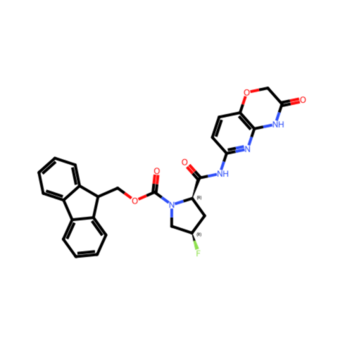 O=C1COc2ccc(NC(=O)[C@H]3C[C@@H](F)CN3C(=O)OCC3c4ccccc4-c4ccccc43)nc2N1